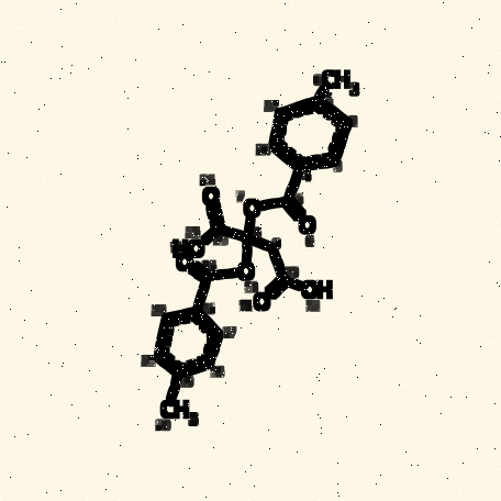 Cc1ccc(C(=O)OC(CC(=O)O)(OC(=O)c2ccc(C)cc2)C(=O)O)cc1